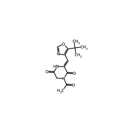 CC(=O)N1CC(=O)NC(=Cc2ncoc2C(C)(C)C)C1=O